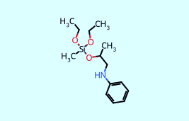 CCO[Si](C)(OCC)OC(C)CNc1ccccc1